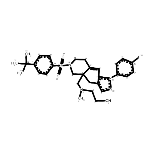 CN(CCO)CC12Cc3cnn(-c4ccc(F)cc4)c3C=C1CCN(S(=O)(=O)c1ccc(C(C)(C)C)cc1)C2